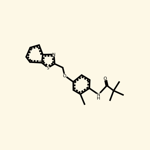 Cc1cc(OCc2nc3ccccc3s2)ccc1NC(=O)C(C)(C)C